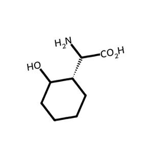 NC(C(=O)O)[C@@H]1CCCCC1O